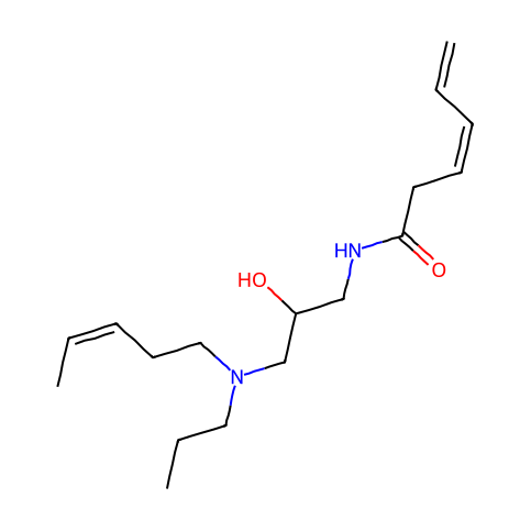 C=C/C=C\CC(=O)NCC(O)CN(CCC)CC/C=C\C